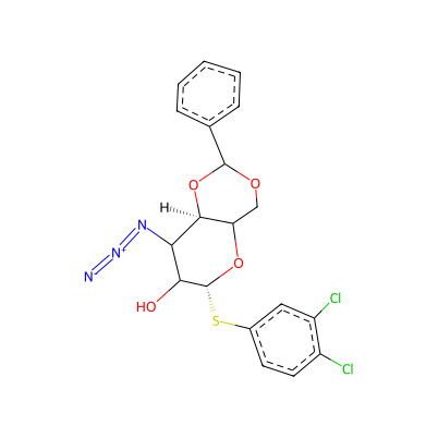 [N-]=[N+]=NC1C(O)[C@@H](Sc2ccc(Cl)c(Cl)c2)OC2COC(c3ccccc3)O[C@@H]21